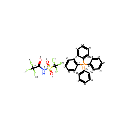 O=C(NS(=O)(=O)C(F)(F)F)C(F)(F)F.c1ccc([PH](c2ccccc2)(c2ccccc2)c2ccccc2)cc1